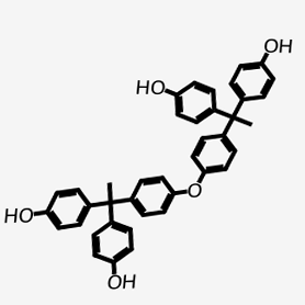 CC(c1ccc(O)cc1)(c1ccc(O)cc1)c1ccc(Oc2ccc(C(C)(c3ccc(O)cc3)c3ccc(O)cc3)cc2)cc1